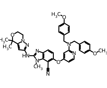 COc1ccc(CN(Cc2ccc(OC)cc2)c2cc(Oc3ccc4nc(Nc5cc6n(n5)CCOC6(C)C)n(C)c4c3C#N)ccn2)cc1